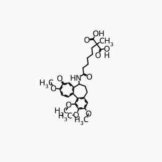 COc1cc2c(c(OC)c1OC)-c1ccc(OC)c(=O)cc1C(NC(=O)CCCCCC(C)(C(=O)O)C(=O)O)CC2